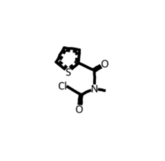 CN(C(=O)Cl)C(=O)c1cccs1